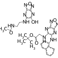 CC(=O)NCCNc1nc2nonc2nc1O.CC(C)(C)OC(=O)CNc1nc2nonc2nc1Nc1cccc2ccccc12